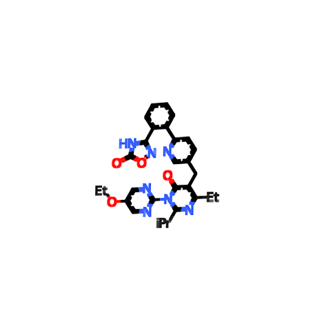 CCOc1cnc(-n2c(C(C)C)nc(CC)c(Cc3ccc(-c4ccccc4-c4noc(=O)[nH]4)nc3)c2=O)nc1